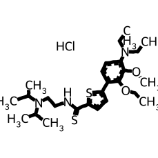 CCOc1c(-c2ccc(C(=S)NCCN(C(C)C)C(C)C)s2)ccc(N(CC)CC)c1OC.Cl